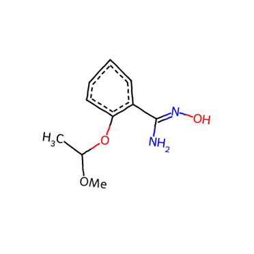 COC(C)Oc1ccccc1/C(N)=N/O